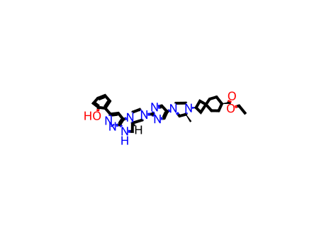 CCOC(=O)[C@H]1CCC2(CC1)C[C@H](N1CCN(c3cnc(N4CCN5c6cc(-c7ccccc7O)nnc6NC[C@H]5C4)nc3)C[C@@H]1C)C2